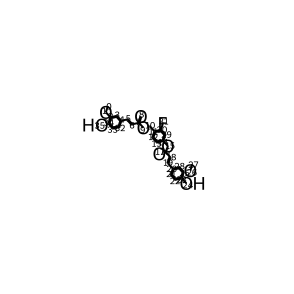 COc1cc(/C=C/C(=O)OCc2ccc(OC(=O)/C=C/c3ccc(O)c(OC)c3)cc2F)ccc1O